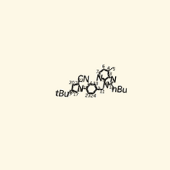 CCCCc1nc2c(C)ccnc2n1Cc1ccc(-n2cc(C(C)(C)C)cc2C#N)cc1